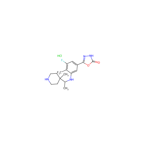 CC(Nc1cc(-c2n[nH]c(=O)o2)cc(F)c1C(F)(F)F)C1(C)CCNCC1.Cl